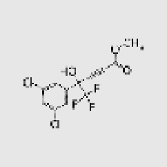 COC(=O)C#CC(O)(c1cc(Cl)cc(Cl)c1)C(F)(F)F